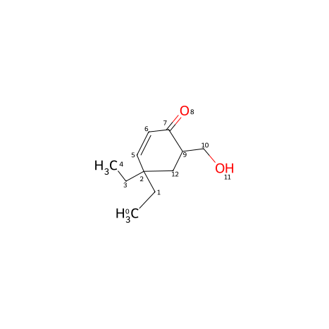 CCC1(CC)C=CC(=O)C(CO)C1